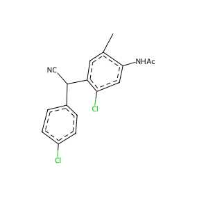 CC(=O)Nc1cc(Cl)c(C(C#N)c2ccc(Cl)cc2)cc1C